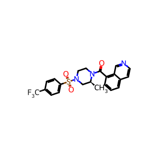 C[C@H]1CN(S(=O)(=O)c2ccc(C(F)(F)F)cc2)CCN1C(=O)c1cccc2ccncc12